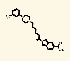 CC(O)c1ccc2cn(C(=O)CCCCCN3CCN(c4cccc(C(F)(F)F)c4)CC3)cc2c1